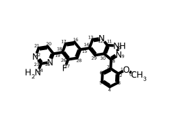 COc1ccccc1-c1n[nH]c2ncc(-c3ccc(-c4ccnc(N)n4)c(F)c3)cc12